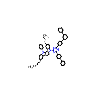 CCCCc1ccc2c(c1)c1c(ccc3c4cc(CCCC)ccc4n(-c4ccccc4)c31)n2-c1nc(-c2ccc(-c3ccccc3)cc2)nc(-c2ccc(-c3cccc(-c4ccccc4)c3)cc2)n1